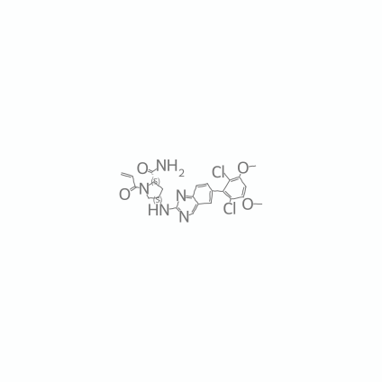 C=CC(=O)N1C[C@@H](Nc2ncc3cc(-c4c(Cl)c(OC)cc(OC)c4Cl)ccc3n2)C[C@H]1C(N)=O